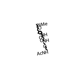 CN/C(C)=C\C(=O)Cc1ccc(NC(=O)CC(=O)NCCOCCCNC(C)=O)cc1